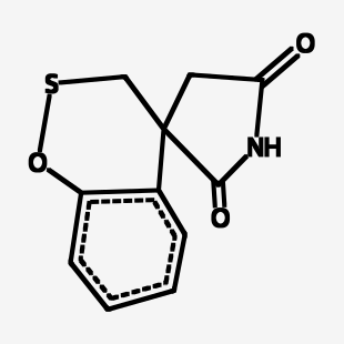 O=C1CC2(CSOc3ccccc32)C(=O)N1